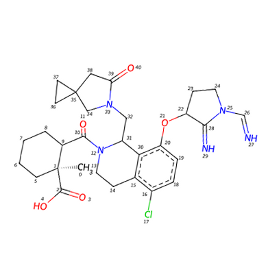 C[C@]1(C(=O)O)CCCCC1C(=O)N1CCc2c(Cl)ccc(OC3CCN(C=N)C3=N)c2C1CN1CC2(CC2)CC1=O